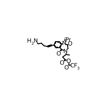 CC(CC(=O)OC(=O)C(F)(F)F)N1CC(=O)N(C(C)C)c2ccc(C#CCCCN)cc2C1=O